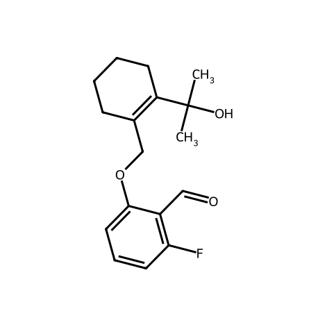 CC(C)(O)C1=C(COc2cccc(F)c2C=O)CCCC1